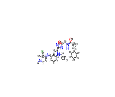 CN1CC/C(=N\c2cccc3c2cc(-c2noc(CNC(=O)[C@@H]4C[C@@H]4c4ccccc4)n2)n3CC(F)(F)F)[C@@H](F)C1